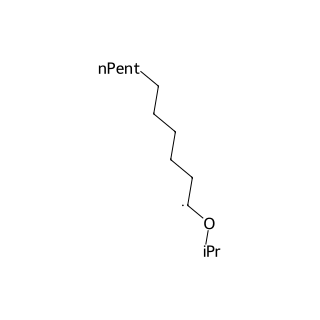 CCCCCCCCCC[CH]OC(C)C